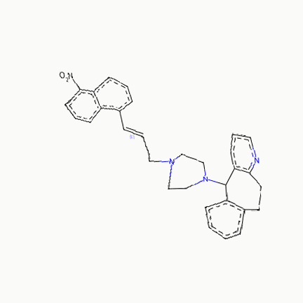 O=[N+]([O-])c1cccc2c(/C=C/CN3CCN(C4c5ccccc5CCc5ncccc54)CC3)cccc12